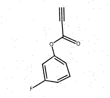 C#CC(=O)Oc1cccc(F)c1